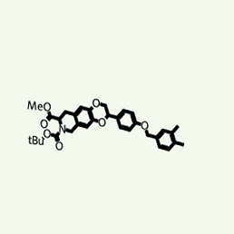 COC(=O)C1Cc2cc3c(cc2CN1C(=O)OC(C)(C)C)OC(c1ccc(OCc2ccc(C)c(C)c2)cc1)CO3